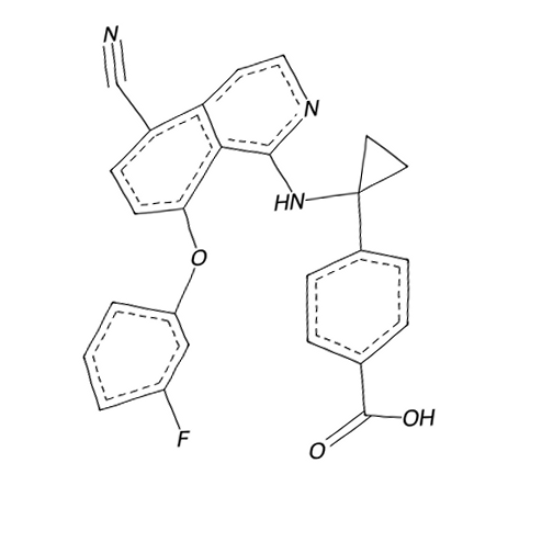 N#Cc1ccc(Oc2cccc(F)c2)c2c(NC3(c4ccc(C(=O)O)cc4)CC3)nccc12